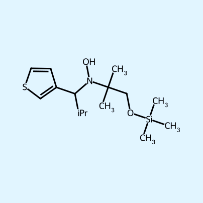 CC(C)C(c1ccsc1)N(O)C(C)(C)CO[Si](C)(C)C